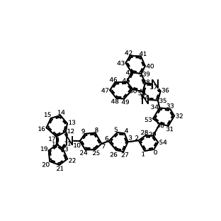 c1cc(-c2ccc(-c3ccc(-n4c5ccccc5c5ccccc54)cc3)cc2)cc(-c2cccc(-c3cnc4c5ccccc5c5ccccc5c4n3)c2)c1